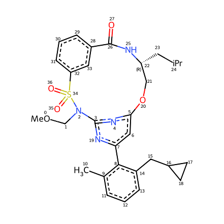 COCN1c2nc(cc(-c3c(C)cccc3CC3CC3)n2)OC[C@@H](CC(C)C)NC(=O)c2cccc(c2)S1(=O)=O